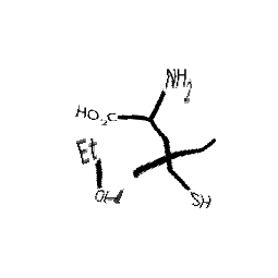 CC(C)(S)C(N)C(=O)O.CCO